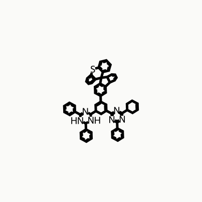 C1=CC2c3cc(C4=CC(C5N=C(c6ccccc6)NC(c6ccccc6)N5)CC(c5nc(-c6ccccc6)nc(C6CC=CCC6)n5)=C4)ccc3C3(c4ccccc4Sc4ccccc43)C2C=C1